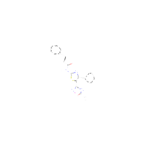 CCc1nc(-c2sc(NC(=O)C=Cc3ccccc3)nc2-c2ccccc2)no1